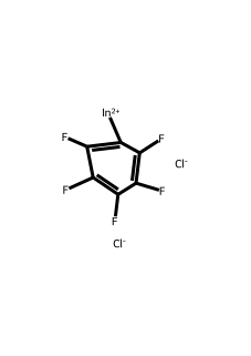 Fc1c(F)c(F)[c]([In+2])c(F)c1F.[Cl-].[Cl-]